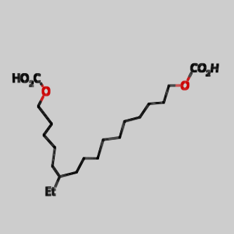 CCC(CCCCCCCCCCOC(=O)O)CCCCCOC(=O)O